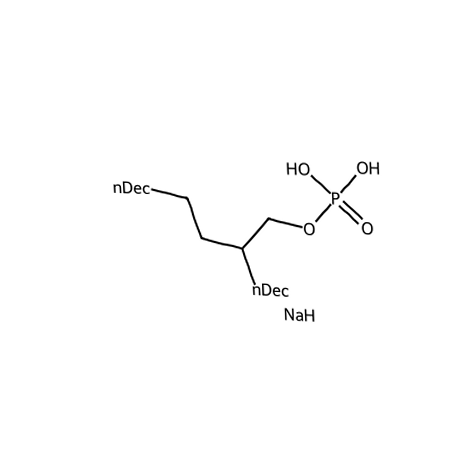 CCCCCCCCCCCCC(CCCCCCCCCC)COP(=O)(O)O.[NaH]